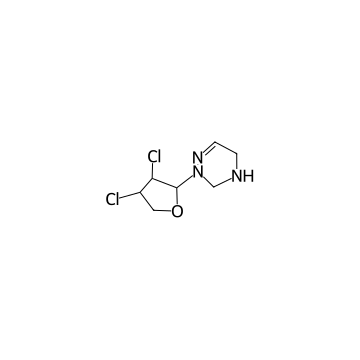 ClC1COC(N2CNCC=N2)C1Cl